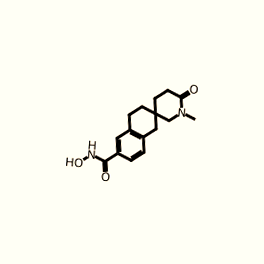 CN1CC2(CCC1=O)CCc1cc(C(=O)NO)ccc1C2